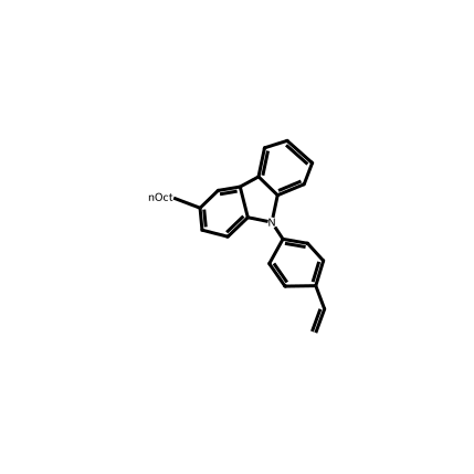 C=Cc1ccc(-n2c3ccccc3c3cc(CCCCCCCC)ccc32)cc1